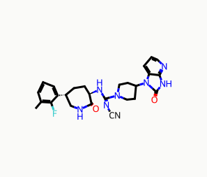 Cc1cccc([C@@H]2CC[C@@H](N/C(=N/C#N)N3CCC(n4c(=O)[nH]c5ncccc54)CC3)C(=O)NC2)c1F